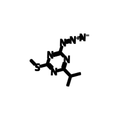 CSc1nc(N=[N+]=[N-])nc(C(C)C)n1